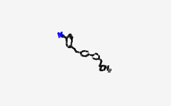 C=CC[C@H]1CC[C@H]([C@H]2CC[C@H](CCc3ccc(C#N)cc3)CC2)CC1